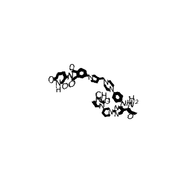 CN1CCN([C@@H]2CCCN(c3ncc(/C(N)=C4/CO4)c(Nc4ccc(N5CCN(CC6CCN(c7ccc8c(c7)C(=O)N(C7CCC(=O)NC7=O)C8=O)C6)CC5)cc4)n3)C2)C1=O